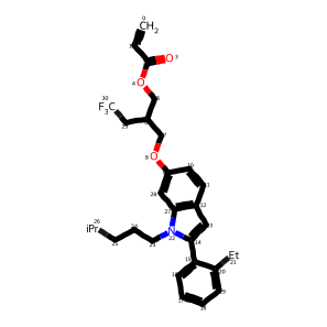 C=CC(=O)OCC(COc1ccc2cc(-c3ccccc3CC)n(CCCC(C)C)c2c1)CC(F)(F)F